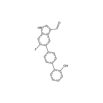 O=Cc1c[nH]c2cc(F)c(-c3ccc(-c4ccccc4O)cc3)cc12